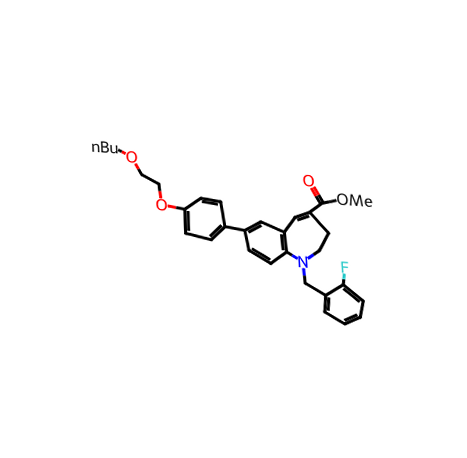 CCCCOCCOc1ccc(-c2ccc3c(c2)C=C(C(=O)OC)CCN3Cc2ccccc2F)cc1